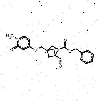 Cn1ccc(OCC23CN(C(=O)OCc4ccccc4)C(C=O)(C2)C3)cc1=O